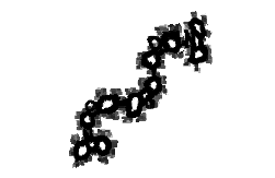 c1ccc2c(c1)c1ccccc1n2-c1ccc2oc3ccc(-c4ccc5sc6ccc(-c7ccc8oc9ccc(-n%10c%11ccccc%11c%11ccccc%11%10)cc9c8c7)cc6c5c4)cc3c2c1